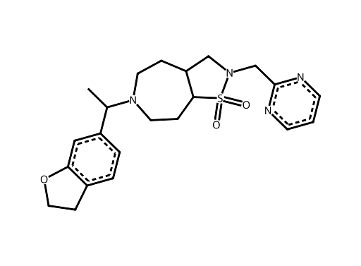 CC(c1ccc2c(c1)OCC2)N1CCC2CN(Cc3ncccn3)S(=O)(=O)C2CC1